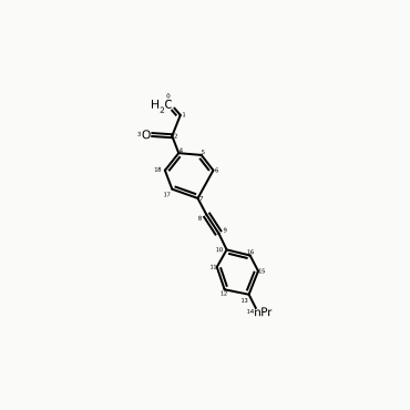 C=CC(=O)c1ccc(C#Cc2ccc(CCC)cc2)cc1